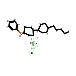 CCCCCC1CCC(C2CCC(Sc3ccccc3)CC2)CC1.F.F.F.F.F